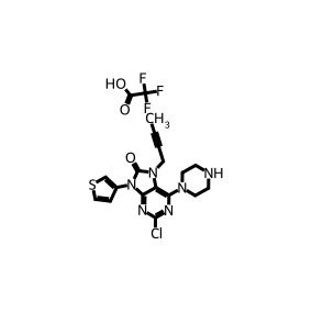 CC#CCn1c(=O)n(-c2ccsc2)c2nc(Cl)nc(N3CCNCC3)c21.O=C(O)C(F)(F)F